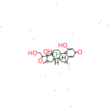 C[C@@H]1C[C@H]2[C@@H]3C[C@H](F)C4=CC(=O)C=C(O)[C@]4(C)C3(Cl)CC[C@]2(C)[C@@]1(O)C(=O)CO